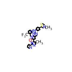 Cc1cnc(-c2ccccn2)nc1-c1cc2cnc(Nc3ccc(C4CN(C)CCS4)cc3)nc2n(Cc2ccccc2C(F)(F)F)c1=O